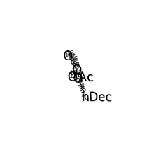 CCCCCCCCCCCCCCCCOCC(COC(C)=O)OCCCCC1CO1